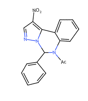 CC(=O)N1c2ccccc2-c2c([N+](=O)[O-])cnn2C1c1ccccc1